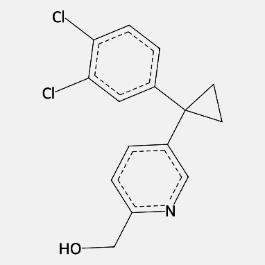 OCc1ccc(C2(c3ccc(Cl)c(Cl)c3)CC2)cn1